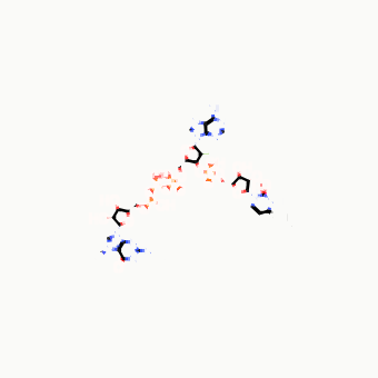 C=C1C=CN([C@@H]2O[C@H](COP(=O)(O)OC3[C@@H](COP(=O)(O)OP(O)OP(O)OC[C@H]4O[C@@H](n5c[n+](C)c6c(=O)[nH]c(N)nc65)[C@@H](O)C4O)O[C@@H](n4cnc5c(N)ncnc54)[C@H]3F)C(O)[C@@H]2O)C(=O)N1